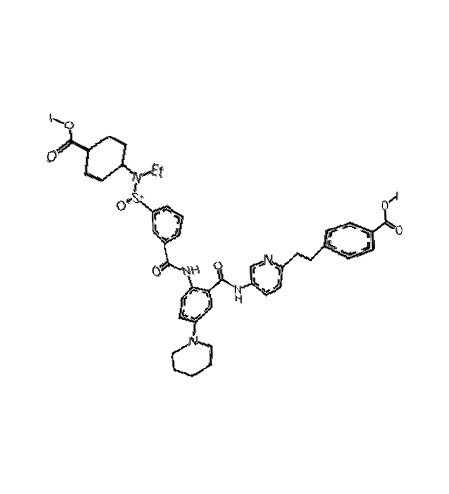 CCN(C1CCC(C(=O)OI)CC1)[S+]([O-])c1cccc(C(=O)Nc2ccc(N3CCCCC3)cc2C(=O)Nc2ccc(CCc3ccc(C(=O)OI)cc3)nc2)c1